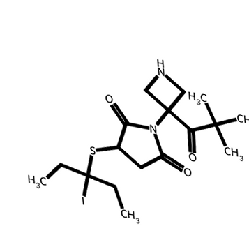 CCC(I)(CC)SC1CC(=O)N(C2(C(=O)C(C)(C)C)CNC2)C1=O